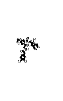 O=C(Cc1ccc(Cl)c(Cl)c1)NCC(=O)N1CC2(C[C@H]1C(=O)NCc1cc3cnccc3[nH]1)OCCO2